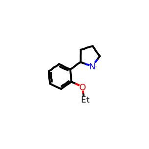 CCOc1ccccc1C1CCC[N]1